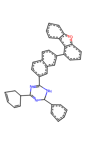 C1=CCC(C2=NC(c3ccccc3)NC(c3ccc4ccc(-c5cccc6oc7ccccc7c56)cc4c3)=N2)C=C1